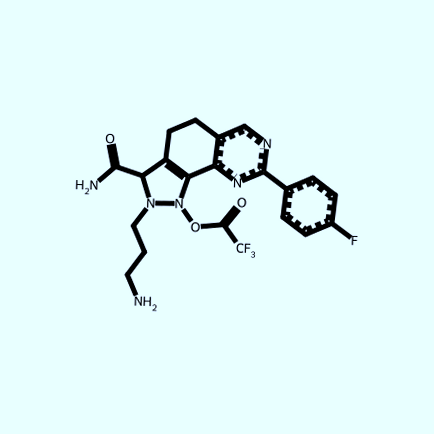 NCCCN1C(C(N)=O)C2=C(c3nc(-c4ccc(F)cc4)ncc3CC2)N1OC(=O)C(F)(F)F